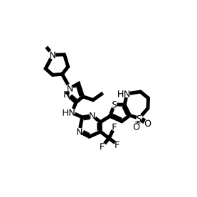 CCc1cn(C2CCN(C)CC2)nc1Nc1ncc(C(F)(F)F)c(-c2cc3c(s2)NCCCS3(=O)=O)n1